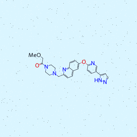 COCC(=O)N1CCN(Cc2ccc3cc(Oc4ccc(-c5ccn[nH]5)cn4)ccc3n2)CC1